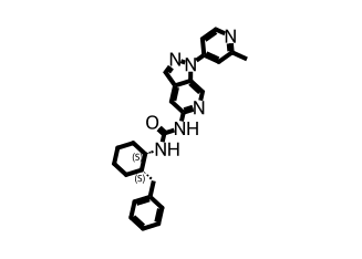 Cc1cc(-n2ncc3cc(NC(=O)N[C@H]4CCCC[C@H]4Cc4ccccc4)ncc32)ccn1